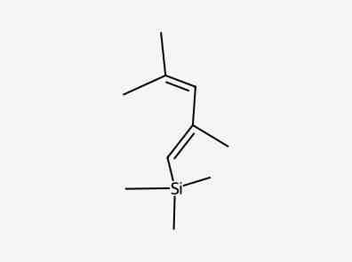 CC(C)=CC(C)=C[Si](C)(C)C